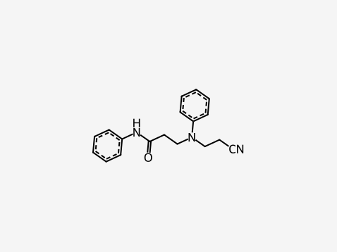 N#CCCN(CCC(=O)Nc1ccccc1)c1ccccc1